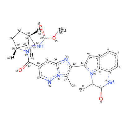 CCC1C(=O)Nc2cccc3cc(-c4nc5cc(C(=O)N6C[C@H]7CC[C@@H]6[C@@H]7NC(=O)OC(C)(C)C)cnn5c4C)n1c23